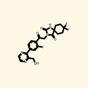 O=C(CN1C(=O)NC2(CCC(F)(F)CC2)C1=O)c1ccc(-c2nccnc2CO)cc1F